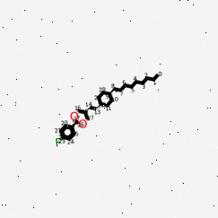 CCCCCCCCC[C@H]1CC[C@H](CC[C@H]2CO[C@H](c3ccc(F)cc3)OC2)CC1